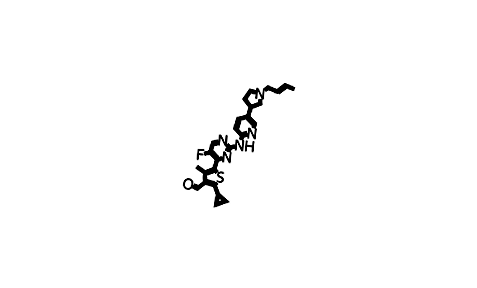 C/C=C/CN1CCC(c2ccc(Nc3ncc(F)c(-c4sc(C5CC5)c(C=O)c4C)n3)nc2)C1